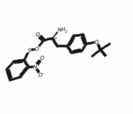 CC(C)(C)Oc1ccc(C[C@H](N)C(=O)OSc2ccccc2[N+](=O)[O-])cc1